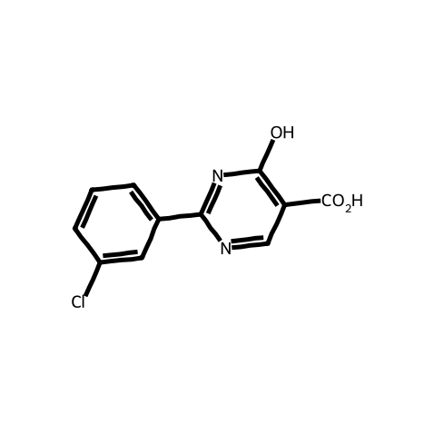 O=C(O)c1cnc(-c2cccc(Cl)c2)nc1O